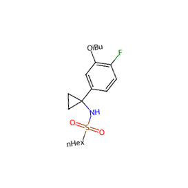 CCCCCCS(=O)(=O)NC1(c2ccc(F)c(OCC(C)C)c2)CC1